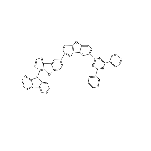 c1ccc(-c2nc(-c3ccccc3)nc(-c3ccc4oc5ccc(-c6ccc7oc8c(-n9c%10ccccc%10c%10ccccc%109)cccc8c7c6)cc5c4c3)n2)cc1